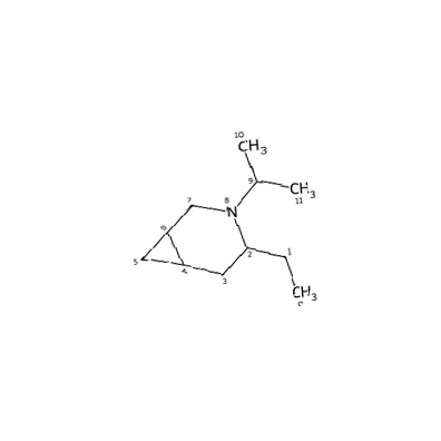 CCC1CC2CC2CN1C(C)C